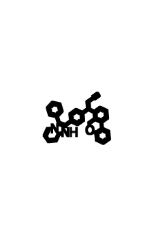 C#C/C=C(/c1ccc(C2=C(c3ccccc3)N3C=CC=CC3N2)cc1)c1cccc2c1COc1ccccc1-2